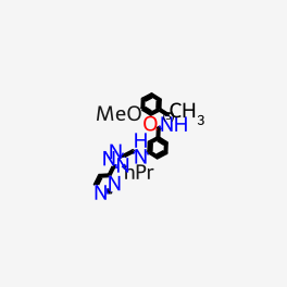 CCCn1c(CNc2cccc(C(=O)N[C@@H](C)c3cccc(OC)c3)c2)nnc1-c1ccncn1